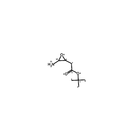 CC(C)(C)OC(=O)CC1OC1N